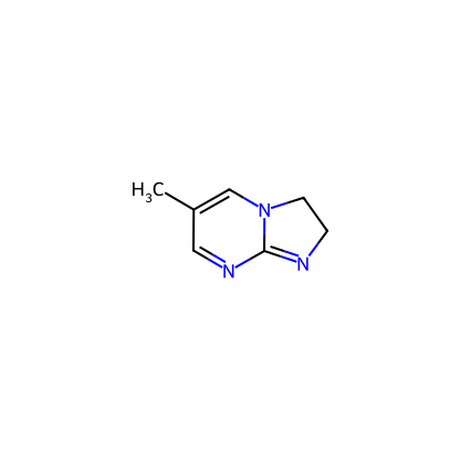 CC1=CN2CCN=C2N=C1